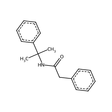 CC(C)(NC(=O)Cc1ccccc1)c1ccccc1